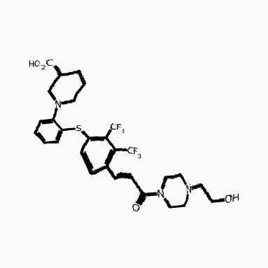 O=C(O)C1CCCN(c2ccccc2Sc2ccc(/C=C/C(=O)N3CCN(CCO)CC3)c(C(F)(F)F)c2C(F)(F)F)C1